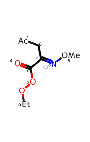 CCOOC(=O)/C(CC(C)=O)=N/OC